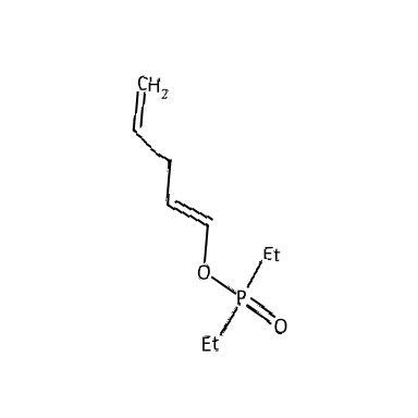 C=CCC=COP(=O)(CC)CC